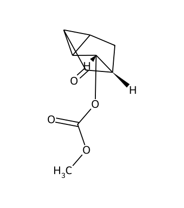 COC(=O)O[C@@H]1C2C3C[C@@H]1C(=O)C32